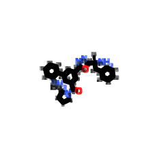 CCC(C)C1CCCN1C(=O)C1C=C(c2nnc([C@](C)(N)Cc3ccccc3)o2)C=C(c2ccccc2N)C1